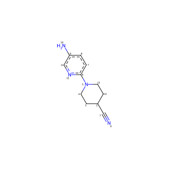 N#CC1CCN(c2ccc(N)cn2)CC1